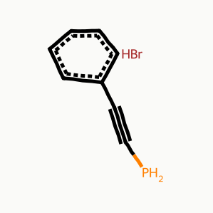 Br.PC#Cc1ccccc1